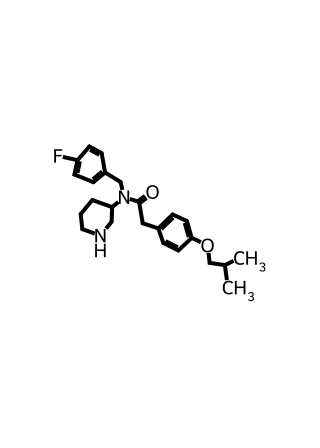 CC(C)COc1ccc(CC(=O)N(Cc2ccc(F)cc2)C2CCCNC2)cc1